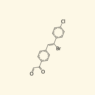 O=CC(=O)c1ccc(C=C(Br)c2ccc(Cl)cc2)cc1